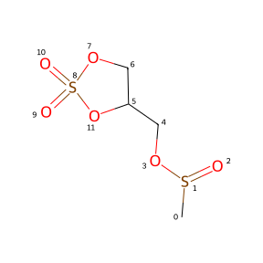 CS(=O)OCC1COS(=O)(=O)O1